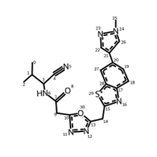 CC(C)C(C#N)NC(=O)Cc1nnc(Cc2nc3ccc(-c4cnn(C)c4)cc3s2)o1